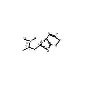 C[C@H](Cc1nc2c(s1)CCC=C2)N(C)C